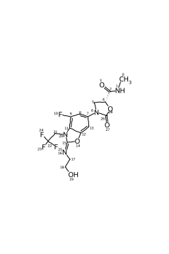 CNC(=O)[C@H]1CN(c2cc(F)c3c(c2)o/c(=N\CCO)n3CC(F)(F)F)C(=O)O1